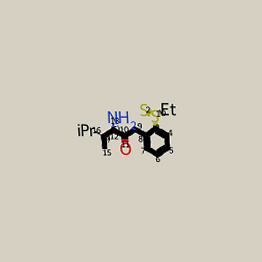 CCS(=S)c1ccccc1CC(=O)[C@@H](N)[C@H](C)C(C)C